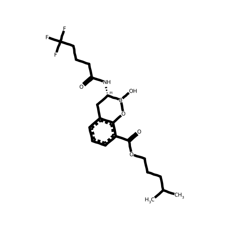 CC(C)CCCOC(=O)c1cccc2c1OB(O)[C@@H](NC(=O)CCCC(F)(F)F)C2